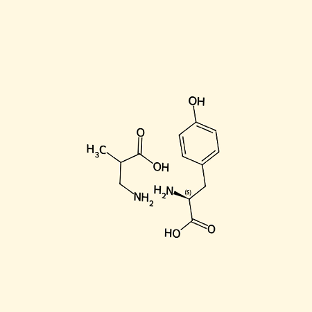 CC(CN)C(=O)O.N[C@@H](Cc1ccc(O)cc1)C(=O)O